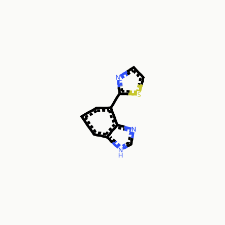 c1cc(-c2nccs2)c2nc[nH]c2c1